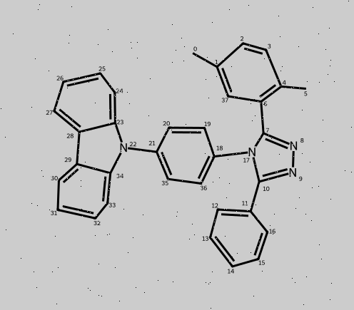 Cc1ccc(C)c(-c2nnc(-c3ccccc3)n2-c2ccc(-n3c4ccccc4c4ccccc43)cc2)c1